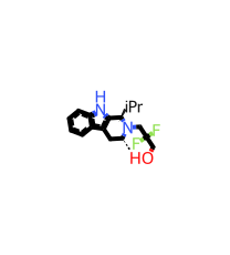 CC(C)[C@@H]1c2[nH]c3ccccc3c2C[C@@H](C)N1CC(F)(F)CO